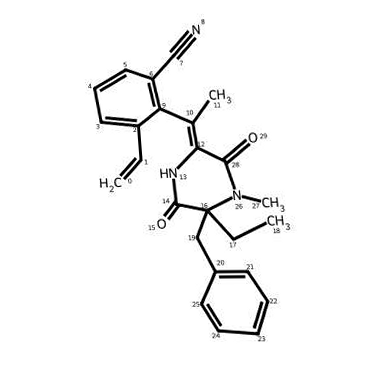 C=Cc1cccc(C#N)c1C(C)=C1NC(=O)C(CC)(Cc2ccccc2)N(C)C1=O